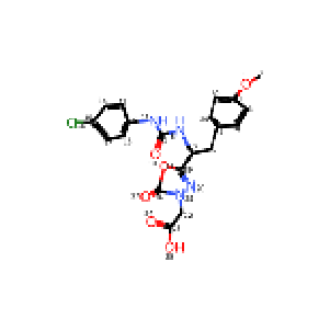 COc1ccc(CC(NC(=O)Nc2ccc(Cl)cc2)c2nn(CC(=O)O)c(=O)o2)cc1